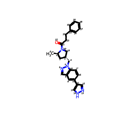 C[C@@H]1C[C@@H](Cn2ncc3cc(-c4cn[nH]c4)ccc32)CN1C(=O)CCc1ccccc1